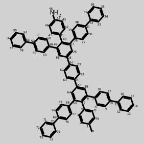 Cc1ccc(-c2c(-c3ccc(-c4ccccc4)cc3)cc(-c3ccc(-c4cc(-c5ccc(-c6ccccc6)cc5)c(-c5ccc(N)cc5)c(-c5ccc(-c6ccccc6)cc5)c4)cc3)cc2-c2ccc(-c3ccccc3)cc2)cc1